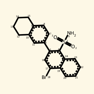 NS(=O)(=O)c1c(-c2ccc3c(c2)CCCC3)cc(Br)c2ccccc12